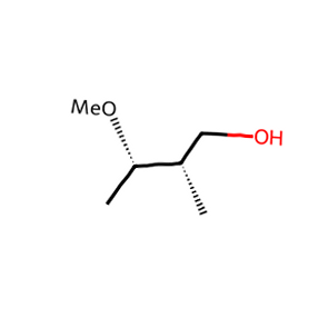 CO[C@@H](C)[C@@H](C)CO